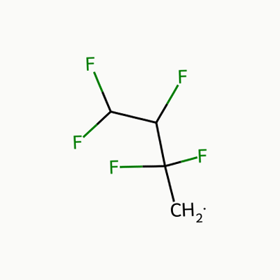 [CH2]C(F)(F)C(F)C(F)F